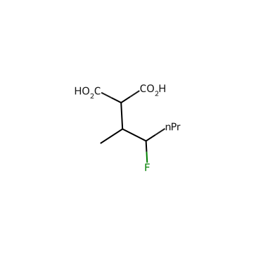 CCCC(F)C(C)C(C(=O)O)C(=O)O